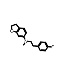 CN(CCc1ccc(F)cc1)c1ccc2c(c1)OCC2